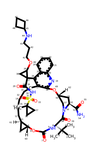 CC(C)(C)[C@@H]1NC(=O)O[C@@H]2C[C@H]2CCCCCc2c(nc3ccccc3c2C2(C(=O)NS(=O)(=O)C3(C)CC3)CC2OCCCNC2CCC2)O[C@@H]2C[C@@H](C(N)=O)N(C2)C1=O